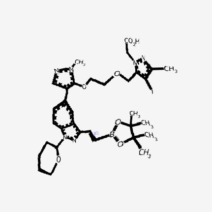 Cc1nn(CC(=O)O)c(COCCOc2c(-c3ccc4c(c3)c(/C=C/B3OC(C)(C)C(C)(C)O3)nn4C3CCCCO3)cnn2C)c1I